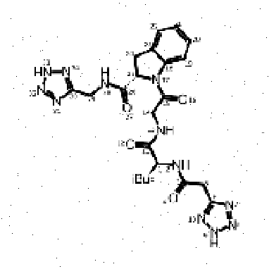 CC[C@H](C)[C@H](NC(=O)Cc1nn[nH]n1)C(=O)NCC(=O)N1c2ccccc2C[C@H]1C(=O)NCc1nn[nH]n1